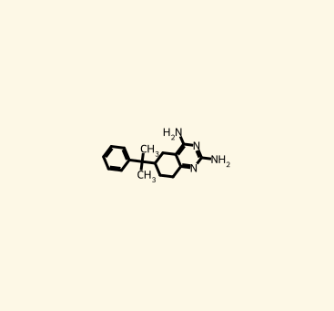 CC(C)(c1ccccc1)C1CCc2nc(N)nc(N)c2C1